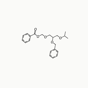 CC(C)OCC(COCOC(=O)c1ccccc1)OCc1ccccc1